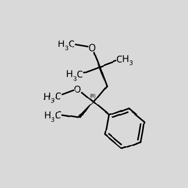 CC[C@](CC(C)(C)OC)(OC)c1ccccc1